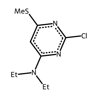 CCN(CC)c1cc(SC)nc(Cl)n1